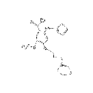 COc1cc(C(=O)O)c(Nc2ccccc2)cc1OCCCN1CCCC1